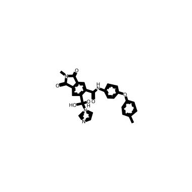 Cc1ccc(Oc2ccc(NC(=O)c3cc4c(cc3C(O)(O)n3ccnc3)C(=O)N(C)C4=O)cc2)cc1